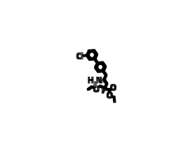 CCOC[C@](C)(C[C@H](N)Cc1ccc(-c2cccc(Cl)c2)cc1)C(=O)OCC